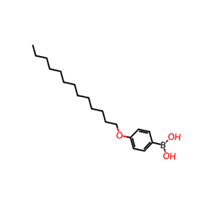 CCCCCCCCCCCCCOc1ccc(B(O)O)cc1